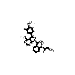 C=CC(=O)Nc1ccccc1C(C)n1nc(-c2ccc(OC)c(F)c2)c2c(N)ncnc21